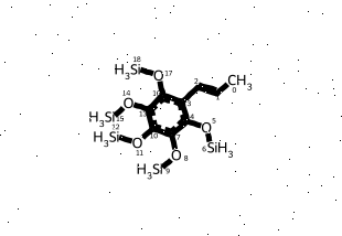 CC=Cc1c(O[SiH3])c(O[SiH3])c(O[SiH3])c(O[SiH3])c1O[SiH3]